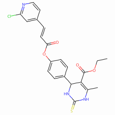 CCOC(=O)C1=C(C)NC(=S)NC1c1ccc(OC(=O)/C=C/c2ccnc(Cl)c2)cc1